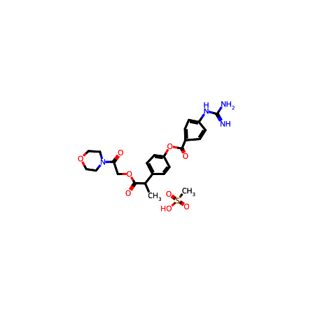 CC(C(=O)OCC(=O)N1CCOCC1)c1ccc(OC(=O)c2ccc(NC(=N)N)cc2)cc1.CS(=O)(=O)O